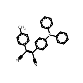 Cc1ccc(/C(C#N)=C(/C#N)c2ccc(N(c3ccccc3)c3ccccc3)cc2)cc1